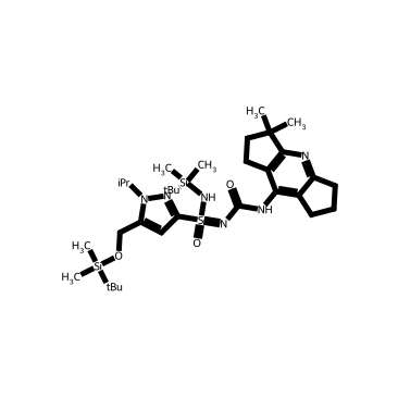 CC(C)n1nc(S(=O)(=NC(=O)Nc2c3c(nc4c2CCC4(C)C)CCC3)N[Si](C)(C)C(C)(C)C)cc1CO[Si](C)(C)C(C)(C)C